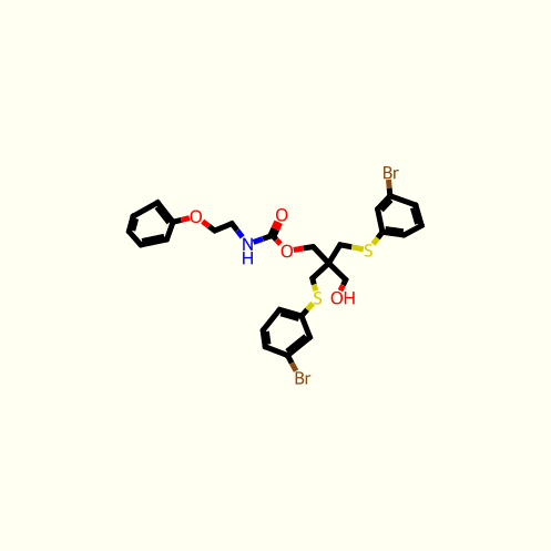 O=C(NCCOc1ccccc1)OCC(CO)(CSc1cccc(Br)c1)CSc1cccc(Br)c1